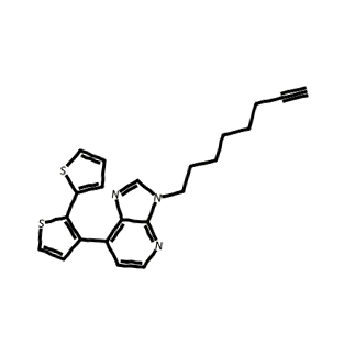 C#CCCCCCCn1cnc2c(-c3ccsc3-c3cccs3)ccnc21